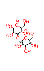 OCC(O)C(O)[C@@H](O[C@@H]1OC(CO)[C@@H](O)C(O)C1O)C(O)CO